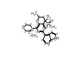 CC1CC(C)(S(C)(=O)=O)c2nc(-c3ccnc4[nH]ccc34)nc(N3CCOC[C@H]3C)c2O1